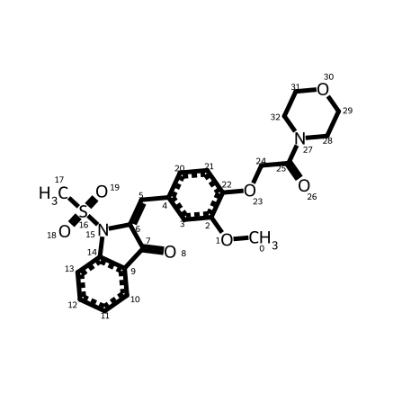 COc1cc(C=C2C(=O)c3ccccc3N2S(C)(=O)=O)ccc1OCC(=O)N1CCOCC1